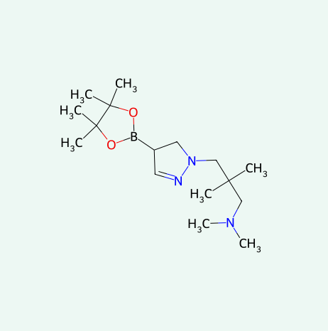 CN(C)CC(C)(C)CN1CC(B2OC(C)(C)C(C)(C)O2)C=N1